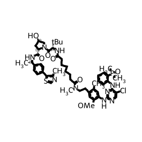 COc1cc(CCN(C)C(=O)CCCCCCC(=O)N[C@H](C(=O)N2C[C@H](O)C[C@H]2C(=O)N[C@@H](C)c2ccc(-c3scnc3C)cc2)C(C)(C)C)c(C)cc1Nc1ncc(Cl)c(Nc2ccccc2P(C)(C)=O)n1